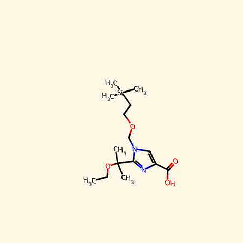 CCOC(C)(C)c1nc(C(=O)O)cn1COCC[Si](C)(C)C